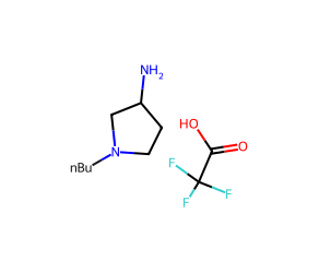 CCCCN1CCC(N)C1.O=C(O)C(F)(F)F